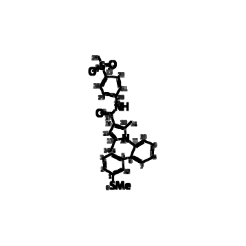 CSc1cccc(-c2ccccc2-n2c(C)cc(C(=O)Nc3ccc(S(C)(=O)=O)cc3)c2C)c1